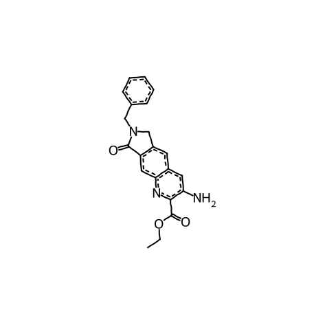 CCOC(=O)c1nc2cc3c(cc2cc1N)CN(Cc1ccccc1)C3=O